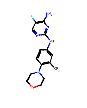 Nc1nc(Nc2ccc(N3CCOCC3)c(C(F)(F)F)c2)ncc1F